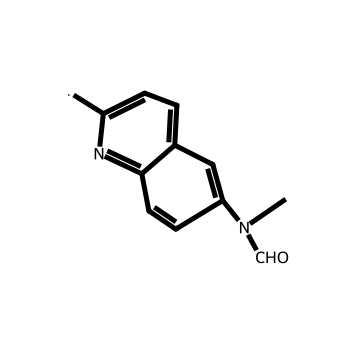 [CH2]c1ccc2cc(N(C)C=O)ccc2n1